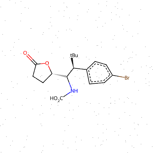 CC(C)(C)[C@@H](c1ccc(Br)cc1)C(NC(=O)O)[C@@H]1CCC(=O)O1